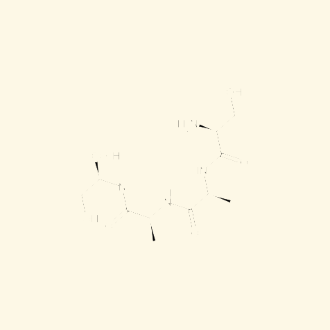 C[C@H](NC(=O)[C@H](C)NC(=O)[C@@H](N)CO)C(=O)N[C@@H](CO)C(=O)O